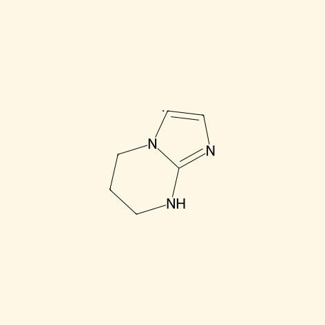 [c]1cnc2n1CCCN2